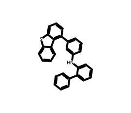 c1ccc(-c2ccccc2Nc2cccc(-c3cccc4sc5ccccc5c34)c2)cc1